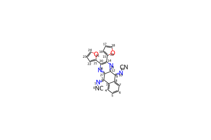 [C-]#[N+]/N=C1\c2ccccc2/C(=N/C#N)c2nc(-c3ccco3)c(-c3ccco3)nc21